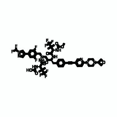 COC(=O)N[C@H](C(=O)N[C@@H](Cc1ccc(C#Cc2ccc(N3CCN(C4COC4)CC3)nc2)cc1)[C@@H](O)CN(Cc1c(F)cc(-c2cnn(C(F)F)c2)cc1F)NC(=O)[C@@H](NC(=O)O)C(C)(C)C(F)(F)F)C(C)(C)C(F)(F)F